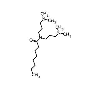 CCCCCCCC(=O)N(CCCN(C)C)CCCN(C)C